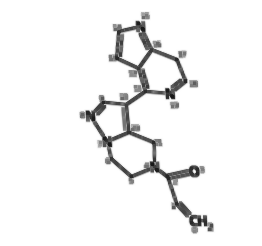 C=CC(=O)N1CCn2ncc(C3=C4C=CN=C4CC=N3)c2C1